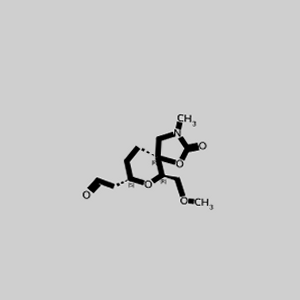 COC[C@H]1O[C@H](CC=O)CC[C@@]12CN(C)C(=O)O2